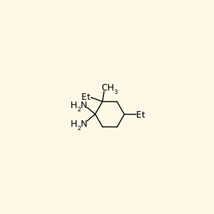 CCC1CCC(N)(N)C(C)(CC)C1